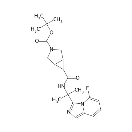 CC(C)(C)OC(=O)N1CC2C(C1)C2C(=O)NC(C)(C)c1ncc2cccc(F)n12